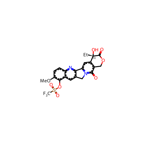 CC[C@@]1(O)C(=O)OCc2c1cc1n(c2=O)Cc2cc3c(OS(=O)(=O)C(F)(F)F)c(OC)ccc3nc2-1